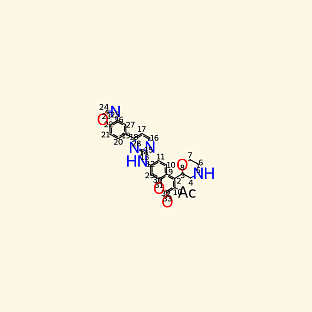 CC(=O)c1c(C2CNCCO2)c2ccc(Nc3nccc(-c4ccc5ocnc5c4)n3)cc2oc1=O